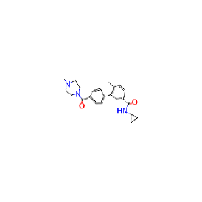 Cc1ccc(C(=O)NC2CC2)cc1-c1ccc(C(=O)N2CCN(C)CC2)cc1